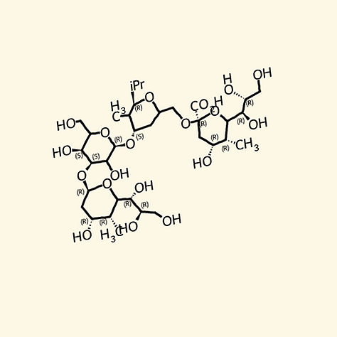 CC(C)[C@H]1OC(CO[C@]2(C(=O)O)C[C@@H](O)[C@@H](C)C([C@H](O)[C@H](O)CO)O2)C[C@H](O[C@@H]2OC(CO)[C@H](O)[C@H](O[C@@H]3C[C@@H](O)[C@@H](C)C([C@H](O)[C@H](O)CO)O3)C2O)C1C